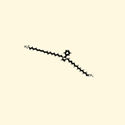 CCCCCCCCCCCCCCCCCCCN1C=CN(CCCCCCCCCCCCCCC)C1c1ccccc1